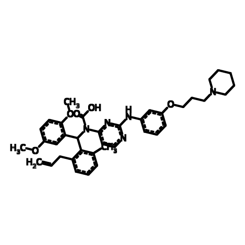 C=CCc1cccc(C)c1C(c1cc(OC)ccc1OC)N(C(=O)O)c1ccnc(Nc2cccc(OCCCN3CCCCC3)c2)n1